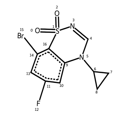 O=S1(=O)N=CN(C2CC2)c2cc(F)cc(Br)c21